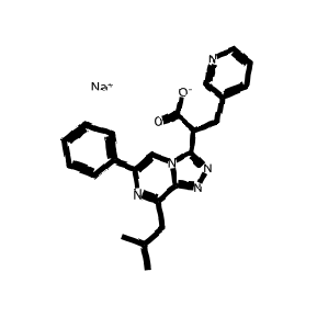 CC(C)Cc1nc(-c2ccccc2)cn2c(C(Cc3cccnc3)C(=O)[O-])nnc12.[Na+]